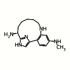 CNc1ccc2c(c1)NCCCCC[C@H](N)c1nc-2c[nH]1